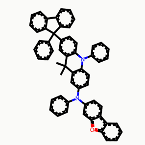 CC1(C)c2cc(N(c3ccccc3)c3ccc4c(c3)oc3ccccc34)ccc2N(c2ccccc2)c2ccc(C3(c4ccccc4)c4ccccc4-c4ccccc43)cc21